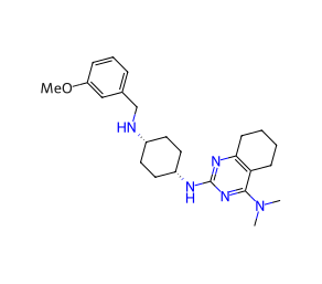 COc1cccc(CN[C@H]2CC[C@@H](Nc3nc4c(c(N(C)C)n3)CCCC4)CC2)c1